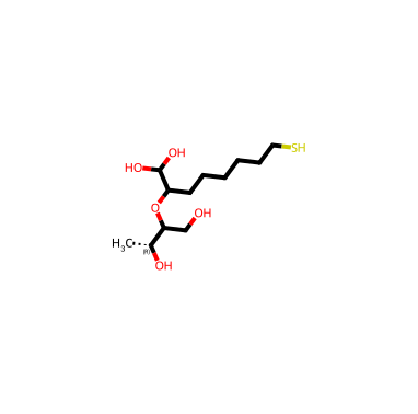 C[C@@H](O)C(CO)OC(CCCCCCS)C(O)O